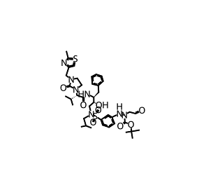 Cc1nc(CN2CCN([C@H](C(=O)N[C@@H](Cc3ccccc3)[C@H](O)CN(CC(C)C)S(=O)(=O)c3cccc(NN(CC=O)C(=O)OC(C)(C)C)c3)C(C)C)C2=O)cs1